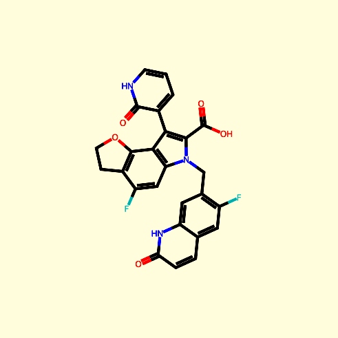 O=C(O)c1c(-c2ccc[nH]c2=O)c2c3c(c(F)cc2n1Cc1cc2[nH]c(=O)ccc2cc1F)CCO3